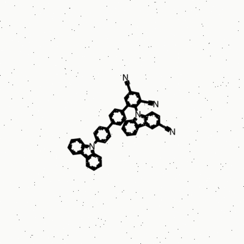 N#Cc1cc(C#N)c(-n2c3ccccc3c3cc(C#N)ccc32)c(-c2ccc(-c3ccc(-n4c5ccccc5c5ccccc54)cc3)cc2)c1